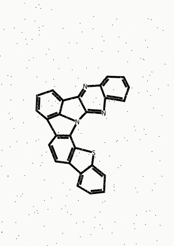 c1ccc2nc3c(nc2c1)c1cccc2c4ccc5c6ccccc6sc5c4n3c21